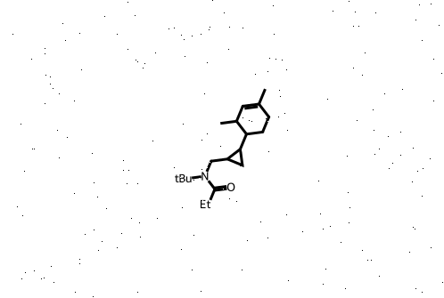 CCC(=O)N(CC1CC1C1CCC(C)=CC1C)C(C)(C)C